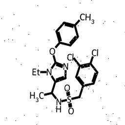 CCn1c(C(C)NS(=O)(=O)Cc2ccc(Cl)c(Cl)c2)cnc1Oc1ccc(C)cc1